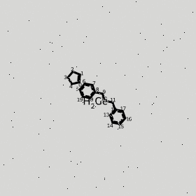 [C]1=CCCC1.c1ccc([CH2][GeH2][CH2]c2ccccc2)cc1